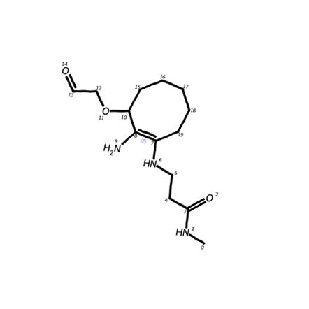 CNC(=O)CCN/C1=C(\N)C(OCC=O)CCCCC1